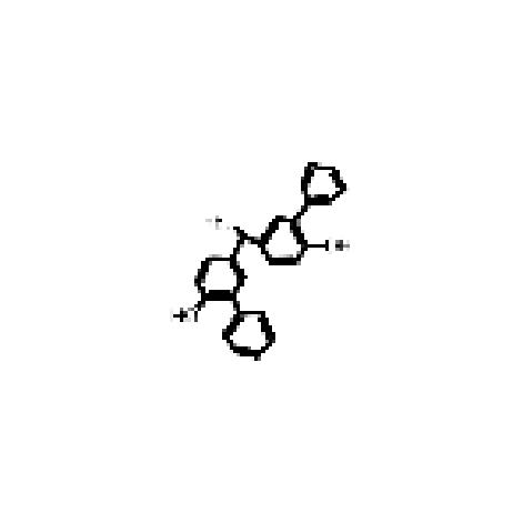 CCCCC(c1ccc(O)c(-c2ccccc2)c1)c1ccc(O)c(-c2ccccc2)c1